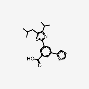 CC(C)Cc1sc(-c2cc(C(=O)O)cc(-c3cccs3)c2)nc1C(C)C